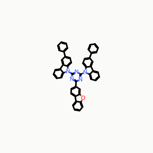 c1ccc(-c2ccc3c(c2)c2ccccc2n3-c2nc(-c3ccc4c(c3)oc3ccccc34)nc(-n3c4ccccc4c4cc(-c5ccccc5)ccc43)n2)cc1